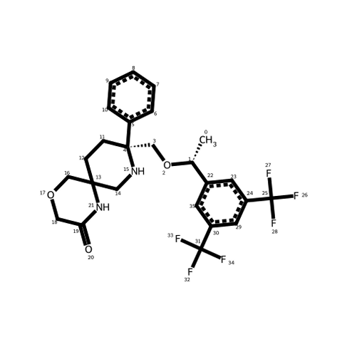 C[C@@H](OC[C@@]1(c2ccccc2)CCC2(CN1)COCC(=O)N2)c1cc(C(F)(F)F)cc(C(F)(F)F)c1